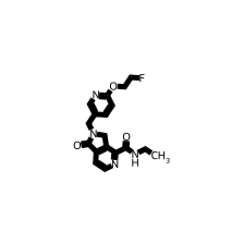 CCNC(=O)c1nccc2c1CN(Cc1ccc(OCCF)nc1)C2=O